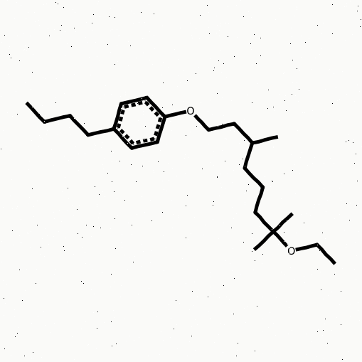 CCCCc1ccc(OCCC(C)CCCC(C)(C)OCC)cc1